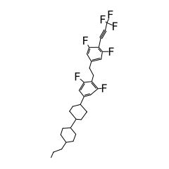 CCCC1CCC(C2CCC(c3cc(F)c(CCc4cc(F)c(C#CC(F)(F)F)c(F)c4)c(F)c3)CC2)CC1